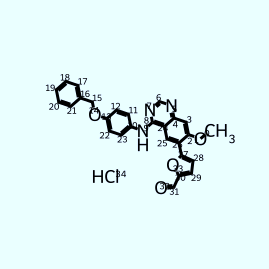 COc1cc2ncnc(Nc3ccc(OCc4ccccc4)cc3)c2cc1-c1ccc(C=O)o1.Cl